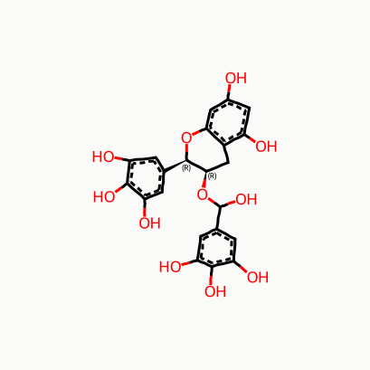 Oc1cc(O)c2c(c1)O[C@H](c1cc(O)c(O)c(O)c1)[C@H](OC(O)c1cc(O)c(O)c(O)c1)C2